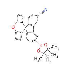 CC1(C)OB(c2ccc3c(c2)-c2cc(C#N)ccc2C32c3ccccc3Oc3ccccc32)OC1(C)C